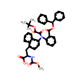 COC(=O)NC(Cc1ccc(N(C(=O)C(=O)OC(C)(C)C)c2ccccc2C(=O)OC(c2ccccc2)c2ccccc2)c2ccccc12)C(=O)O